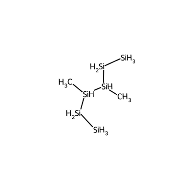 C[SiH]([SiH2][SiH3])[SiH](C)[SiH2][SiH3]